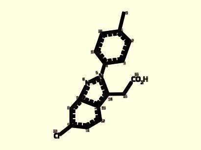 Cc1ccc(-n2nc3cc(Cl)ccc3c2CC(=O)O)cc1